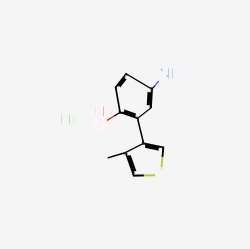 Cc1cscc1-c1cc(N)ccc1O.Cl